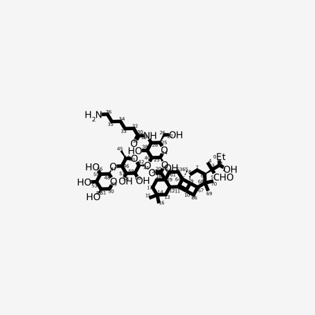 CCC(O)C(C)(C=O)[C@@H]1CC[C@]23C(=C4C5CC(C)(C)CCC5(C(=O)O[C@@H]5O[C@H](CO)C(NC(=O)CCCCCN)C(O)C5O[C@@H]5O[C@H](C)C(O[C@@H]6OC[C@@H](O)C(O)C6O)C(O)C5O)[C@H](O)C[C@]42C)CC3C1(C)C